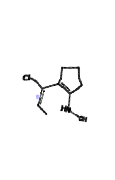 C/C=C(/Cl)C1=C(NO)CCC1